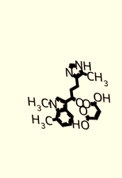 Cc1[nH]cnc1CCC(=O)c1cn(C)c2c(C)cccc12.O=C(O)/C=C\C(=O)O